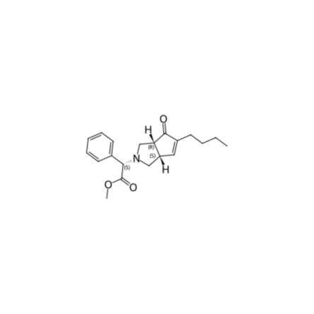 CCCCC1=C[C@@H]2CN([C@H](C(=O)OC)c3ccccc3)C[C@@H]2C1=O